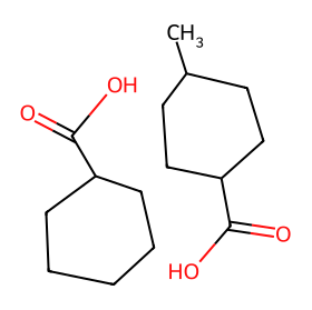 CC1CCC(C(=O)O)CC1.O=C(O)C1CCCCC1